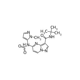 Cn1nccc1N(c1ccn2ncc(C(=O)NC(C)(C)C)c2n1)[SH](=O)=O